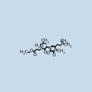 CCOC(=O)CCNC(=O)[C@H](CC(C)C)n1cc(CCN(C)C)n(C)c(=O)c1=O